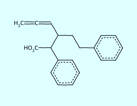 C=C=CC(CCc1ccccc1)C(C(=O)O)c1ccccc1